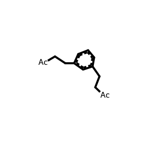 CC(=O)CCc1cccc(CCC(C)=O)c1